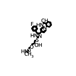 CNOCOCC(O)CSc1nc(-c2ccnc(NC(C)C3CCCCC3)c2)c(-c2ccc(F)cc2)[nH]1